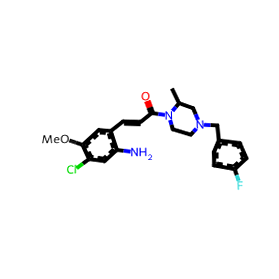 COc1cc(C=CC(=O)N2CCN(Cc3ccc(F)cc3)CC2C)c(N)cc1Cl